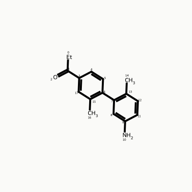 CCC(=O)c1ccc(-c2cc(N)ccc2C)c(C)c1